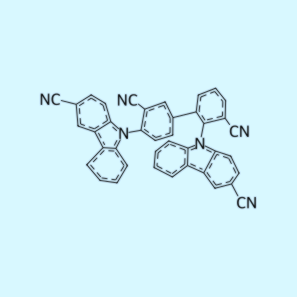 N#Cc1ccc2c(c1)c1ccccc1n2-c1ccc(-c2cccc(C#N)c2-n2c3ccccc3c3cc(C#N)ccc32)cc1C#N